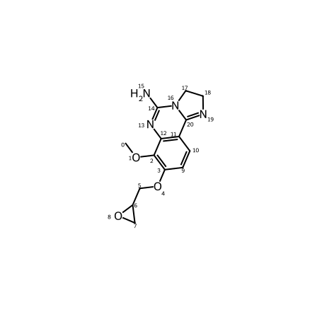 COc1c(OCC2CO2)ccc2c1N=C(N)N1CCN=C21